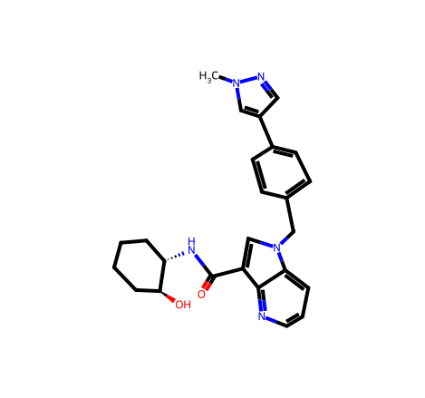 Cn1cc(-c2ccc(Cn3cc(C(=O)N[C@H]4CCCC[C@@H]4O)c4ncccc43)cc2)cn1